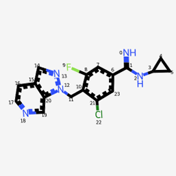 N=C(NC1CC1)c1cc(F)c(Cn2ncc3ccncc32)c(Cl)c1